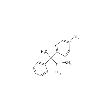 Cc1ccc([Si](C)(c2ccccc2)C(C)C)cc1